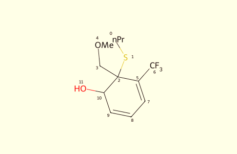 CCCSC1(COC)C(C(F)(F)F)=CC=CC1O